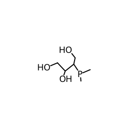 CP(C)C(CO)C(O)CO